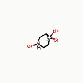 Br[SiH]1CC[Si](Br)(Br)CC1